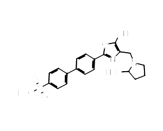 Cc1oc(-c2ccc(-c3ccc(S(C)(=O)=O)cc3)cc2)nc1CN1CCCC1C